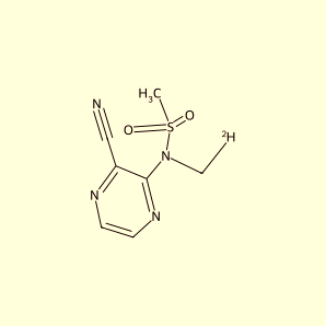 [2H]CN(c1nccnc1C#N)S(C)(=O)=O